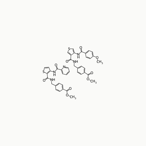 COC(=O)c1ccc(CNC(=O)c2cscc2NC(=O)c2ccc(OC)cc2)cc1.COC(=O)c1ccc(CNC(=O)c2sccc2NC(=O)c2ccccn2)cc1